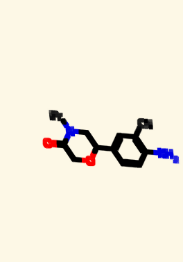 CC(C)N1CC(c2ccc(N)c(C#N)c2)OCC1=O